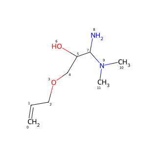 C=CCOCC(O)C(N)N(C)C